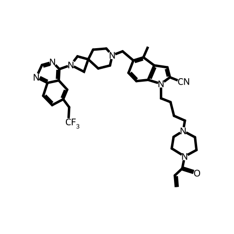 C=CC(=O)N1CCN(CCCCn2c(C#N)cc3c(C)c(CN4CCC5(CC4)CN(c4ncnc6ccc(CC(F)(F)F)cc46)C5)ccc32)CC1